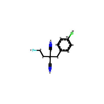 N#CC(C#N)(CCF)Cc1ccc(Cl)cc1